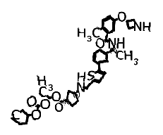 Cc1ccc(OC2CNC2)cc1C(=O)N[C@H](C)c1cccc(-c2ccc(CN[C@H]3CC[C@@H](C(=O)OC(C)OC(=O)OC4CCCCC4)C3)s2)c1